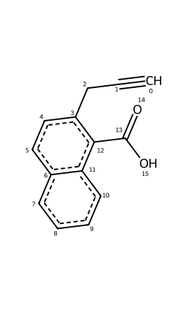 C#CCc1ccc2ccccc2c1C(=O)O